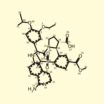 CCOc1cc(C(Nc2ccc3c(N)nccc3c2)C(=O)N2CC[C@H](C(=O)O)[C@H]2c2cc(C(=O)OC)ccc2S(=O)(=O)C(C)C)ccc1OC(C)C